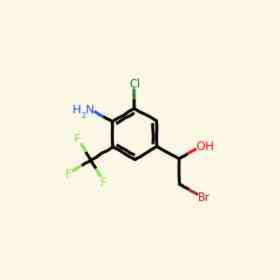 Nc1c(Cl)cc(C(O)CBr)cc1C(F)(F)F